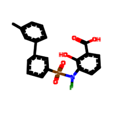 Cc1cccc(-c2cccc(S(=O)(=O)N(F)c3cccc(C(=O)O)c3O)c2)c1